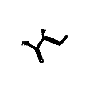 CC=C(Br)C(=O)O